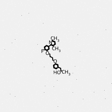 Cc1ccc(C)c(-c2ccc(F)c(OCCCCOc3cccc(CC(C)O)c3)c2)n1